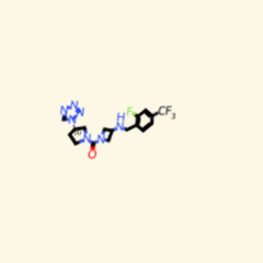 O=C(N1CC(NCc2ccc(C(F)(F)F)cc2F)C1)N1CC[C@H](n2cnnn2)C1